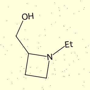 CCN1CCC1CO